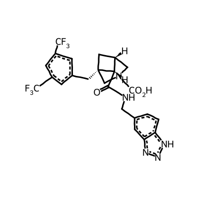 O=C(NCc1ccc2[nH]nnc2c1)[C@H]1[C@H]2CN(C(=O)O)C[C@@]1(Cc1cc(C(F)(F)F)cc(C(F)(F)F)c1)C2